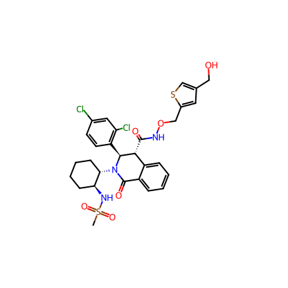 CS(=O)(=O)N[C@H]1CCCC[C@@H]1N1C(=O)c2ccccc2[C@@H](C(=O)NOCc2cc(CO)cs2)[C@@H]1c1ccc(Cl)cc1Cl